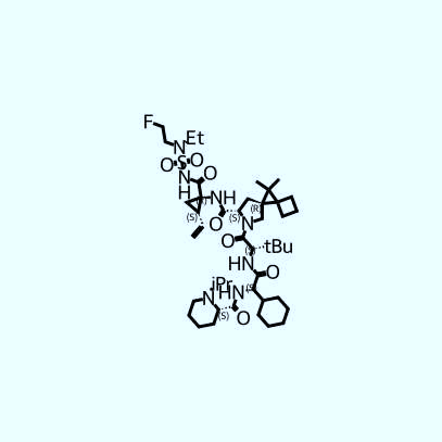 C=C[C@@H]1C[C@]1(NC(=O)[C@@H]1C[C@@]2(CN1C(=O)[C@@H](NC(=O)[C@@H](NC(=O)[C@@H]1CCCCN1C(C)C)C1CCCCC1)C(C)(C)C)C(C)(C)C21CCC1)C(=O)NS(=O)(=O)N(CC)CCF